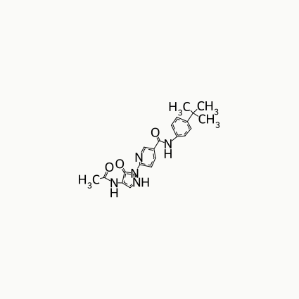 CC(=O)Nc1c[nH]n(-c2ccc(C(=O)Nc3ccc(C(C)(C)C)cc3)cn2)c1=O